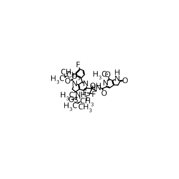 COc1nc(C(=O)NCC(O)(c2cc3c(c(-c4ccc(F)cc4)n2)N(C(=O)OC(C)(C)C)C[C@@]3(C)N[S+]([O-])C(C)(C)C)C(F)(F)F)cc2c1NC(=O)C2